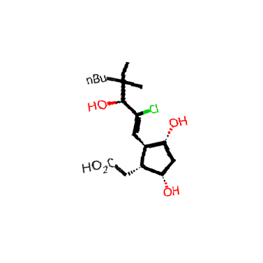 CCCCC(C)(C)[C@H](O)C(Cl)=C[C@@H]1[C@@H](CC(=O)O)[C@@H](O)C[C@H]1O